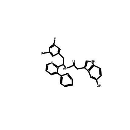 O=C(Cc1c[nH]c2ccc(O)cc12)NC(Cc1cc(F)cc(F)c1)c1ncccc1-c1ccccc1